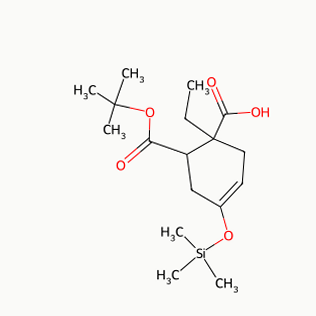 CCC1(C(=O)O)CC=C(O[Si](C)(C)C)CC1C(=O)OC(C)(C)C